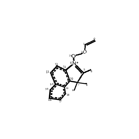 C=COO[N+]1=C(C)C(C)(C)c2c1ccc1ccccc21